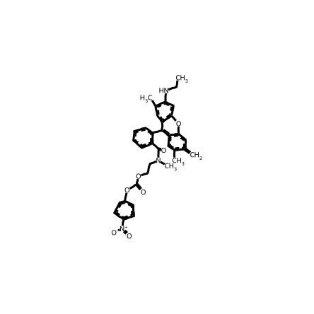 C=c1cc2c(cc1C)=C(c1ccccc1C(=O)N(C)CCOC(=O)Oc1ccc([N+](=O)[O-])cc1)c1cc(C)c(NCC)cc1O2